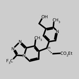 CCOC(=O)C[C@@H](c1cnc(C)c(CO)c1)c1ccn2c(C(F)(F)F)nnc2c1C